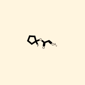 C=CC(=O)OC1(F)CCCC1